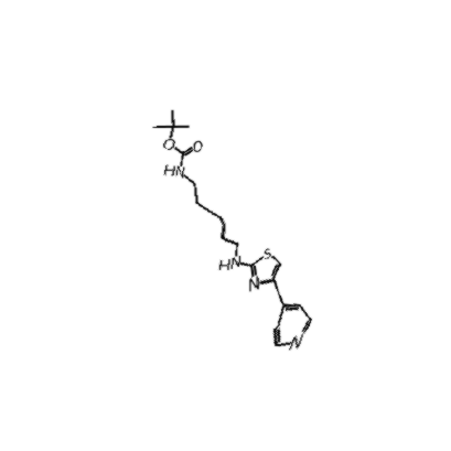 CC(C)(C)OC(=O)NCCCCCNc1nc(-c2ccncc2)cs1